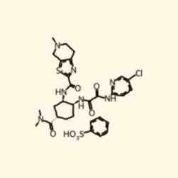 CN1CCc2nc(C(=O)N[C@@H]3C[C@@H](C(=O)N(C)C)CC[C@@H]3NC(=O)C(=O)Nc3ccc(Cl)cn3)sc2C1.O=S(=O)(O)c1ccccc1